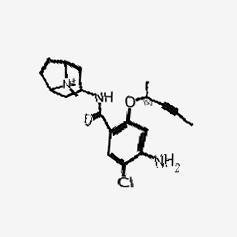 CC#C[C@H](C)Oc1cc(N)c(Cl)cc1C(=O)NC1CC2CCC(C1)[N+]2(C)C